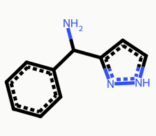 NC(c1ccccc1)c1cc[nH]n1